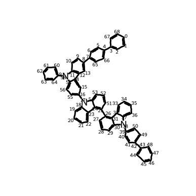 c1ccc(-c2ccc(-c3ccc4c(c3)c3cc(-n5c6ccccc6c6c(-c7cccc8c7c7ccccc7n8-c7ccc(-c8ccccc8)cc7)cccc65)ccc3n4-c3ccccc3)cc2)cc1